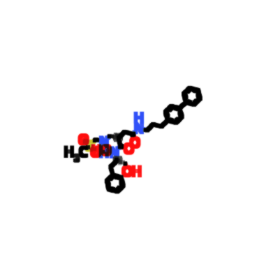 CS(=O)(=O)CNC[C@H](CC(=O)NCCCc1ccc(-c2ccccc2)cc1)C(=O)N(O)[C@H](CO)Cc1ccccc1